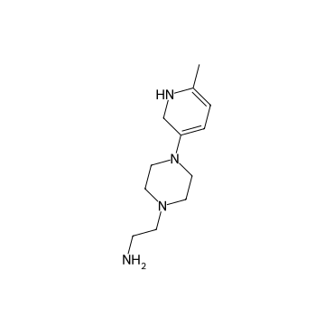 CC1=CC=C(N2CCN(CCN)CC2)CN1